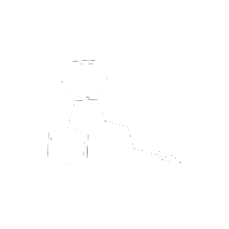 N#CCCC1c2ccccc2-c2ccccc21